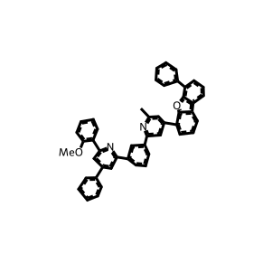 COc1ccccc1-c1cc(-c2ccccc2)cc(-c2cccc(-c3cc(-c4cccc5c4oc4c(-c6ccccc6)cccc45)cc(C)n3)c2)n1